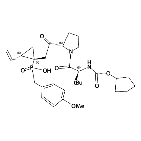 C=C[C@@H]1C[C@]1(CC(=O)[C@@H]1CCCN1C(=O)[C@@H](NC(=O)OC1CCCC1)C(C)(C)C)P(=O)(O)Cc1ccc(OC)cc1